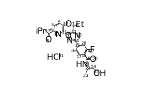 CCC(Oc1ccc(C(=O)C(C)C)nc1)c1nc(-c2ccc(C(=O)NC(C)CO)c(F)c2)no1.Cl